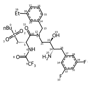 CCCCS(=O)(=O)C[C@@H](NC(=O)C(F)(F)F)C(=O)N(Cc1cccc(CC)c1)C[C@@H](O)[C@@H](N)Cc1cc(F)cc(F)c1